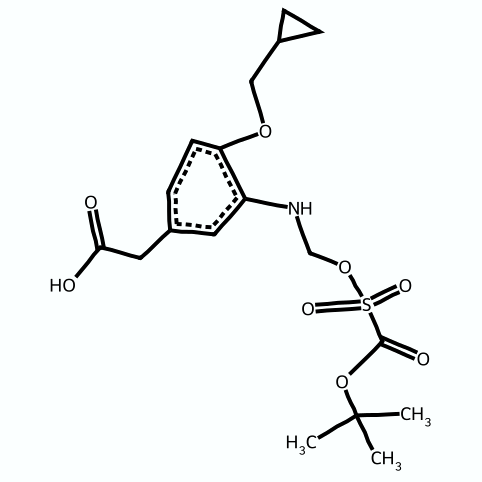 CC(C)(C)OC(=O)S(=O)(=O)OCNc1cc(CC(=O)O)ccc1OCC1CC1